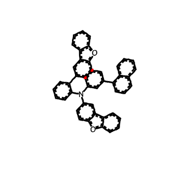 c1cc(-c2cccc3ccccc23)cc(N(c2ccc3oc4ccccc4c3c2)c2ccccc2-c2ccc3oc4ccccc4c3c2)c1